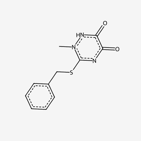 Cn1[nH]c(=O)c(=O)nc1SCc1ccccc1